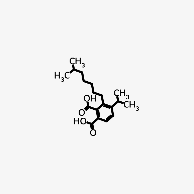 CC(C)CCCCCc1c(C(C)C)ccc(C(=O)O)c1C(=O)O